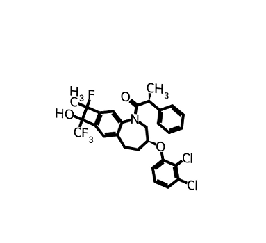 C[C@H](C(=O)N1C[C@@H](Oc2cccc(Cl)c2Cl)CCc2cc3c(cc21)C(C)(F)C3(O)C(F)(F)F)c1ccccc1